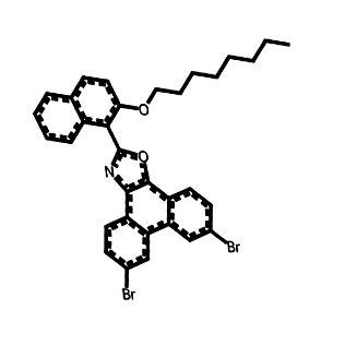 CCCCCCCCOc1ccc2ccccc2c1-c1nc2c3ccc(Br)cc3c3cc(Br)ccc3c2o1